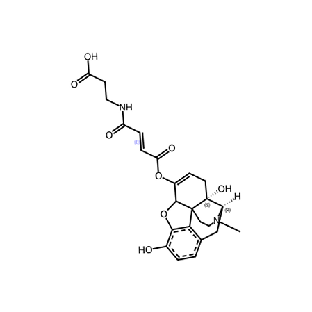 CN1CCC23c4c5ccc(O)c4OC2C(OC(=O)/C=C/C(=O)NCCC(=O)O)=CC[C@@]3(O)[C@H]1C5